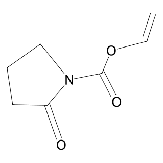 C=COC(=O)N1CCCC1=O